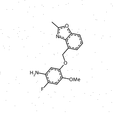 COc1cc(F)c(N)cc1OCc1cccc2oc(C)nc12